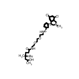 CCCCC(C)(CCC(=O)NCCOCCOCCNSc1cccc([C@@H]2CN(C)Cc3c(Cl)cc(Cl)cc32)c1)CC(C)O